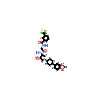 O=C(CNC(=O)c1cccc(C(F)(F)F)c1)N[C@H]1CN(C2CCC(c3ccc4c(c3)OCO4)CC2)C[C@@H]1O